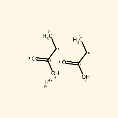 CCC(=O)O.CCC(=O)O.[Ti+4]